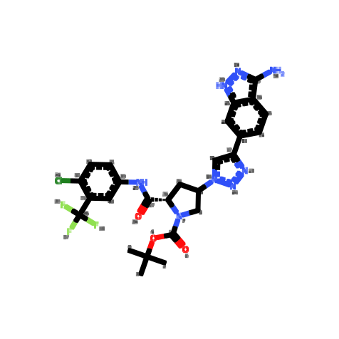 CC(C)(C)OC(=O)N1CC(n2cc(-c3ccc4c(N)n[nH]c4c3)nn2)C[C@H]1C(=O)Nc1ccc(Cl)c(C(F)(F)F)c1